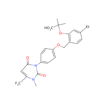 CCc1ccc(COc2ccc(-n3c(=O)cc(C(F)(F)F)n(C)c3=O)cc2)c(OC(C)(C)C(=O)O)c1